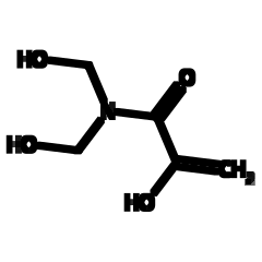 C=C(O)C(=O)N(CO)CO